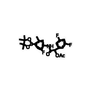 CC(=O)OC(C(=O)Nc1cc(C)c(B2OC(C)(C)C(C)(C)O2)cc1F)c1cc(F)cc(F)c1